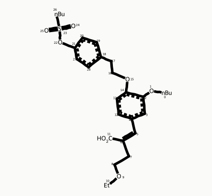 CCCCOc1cc(/C=C(/CCOCC)C(=O)O)ccc1OCCc1ccc(OS(=O)(=O)CCCC)cc1